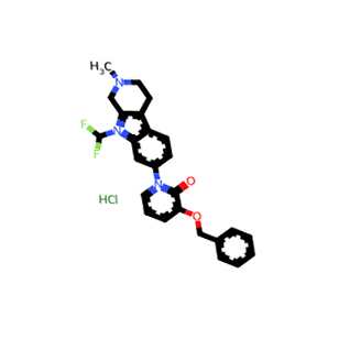 CN1CCc2c(n(C(F)F)c3cc(-n4cccc(OCc5ccccc5)c4=O)ccc23)C1.Cl